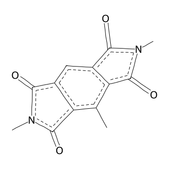 Cc1c2c(=O)n(C)c(=O)c2cc2c(=O)n(C)c(=O)c12